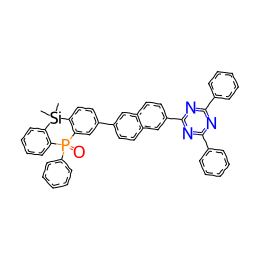 C[Si]1(C)c2ccccc2P(=O)(c2ccccc2)c2cc(-c3ccc4cc(-c5nc(-c6ccccc6)nc(-c6ccccc6)n5)ccc4c3)ccc21